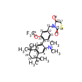 CN(C)c1cc2c(cc1-c1ccc(CN3C(=O)CSC3=O)cc1OC(F)(F)F)C(C)(C)CCC2(C)C